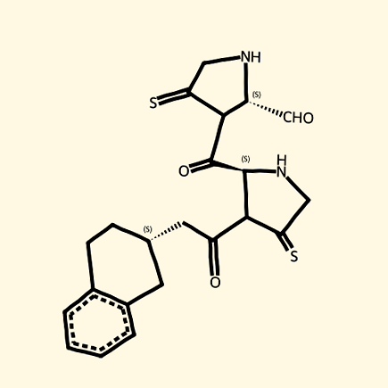 O=C[C@H]1NCC(=S)C1C(=O)[C@H]1NCC(=S)C1C(=O)C[C@H]1CCc2ccccc2C1